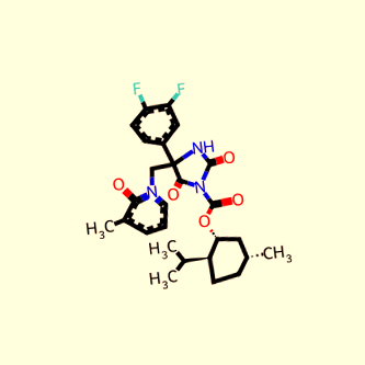 Cc1cccn(CC2(c3ccc(F)c(F)c3)NC(=O)N(C(=O)O[C@@H]3C[C@H](C)CC[C@H]3C(C)C)C2=O)c1=O